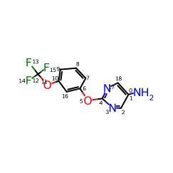 Nc1cnc(Oc2cccc(OC(F)(F)F)c2)nc1